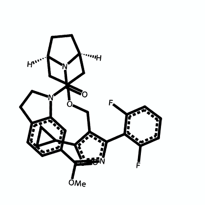 COC(=O)c1ccc2c(c1)N(C(=O)N1[C@@H]3CC[C@H]1CC(OCc1c(-c4c(F)cccc4F)noc1C1CC1)C3)CC2